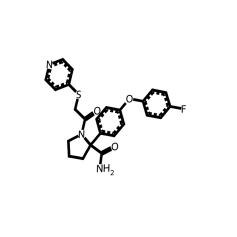 NC(=O)C1(c2ccc(Oc3ccc(F)cc3)cc2)CCCN1C(=O)CSc1ccncc1